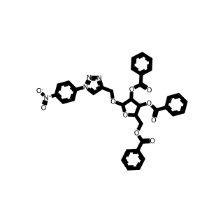 O=C(OCC1OC(OCc2cn(-c3ccc([N+](=O)[O-])cc3)nn2)C(OC(=O)c2ccccc2)C1OC(=O)c1ccccc1)c1ccccc1